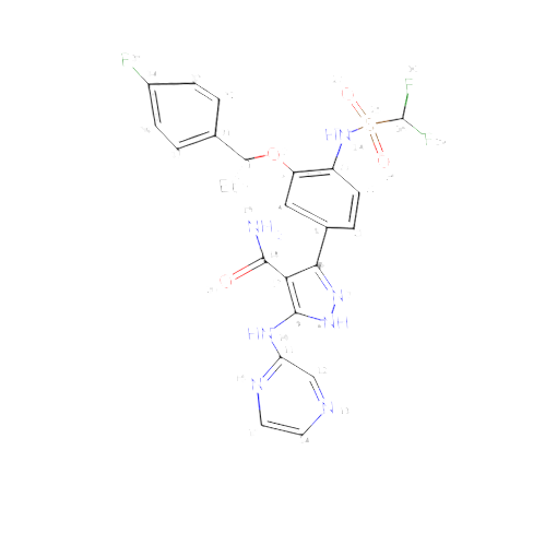 CC[C@@H](Oc1cc(-c2n[nH]c(Nc3cnccn3)c2C(N)=O)ccc1NS(=O)(=O)C(F)F)c1ccc(F)cc1